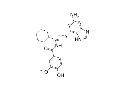 COc1cc(C(=O)N[C@@H](CSc2nc(N)nc3nc[nH]c23)C2CCCCC2)ccc1O